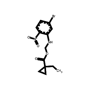 CCC1(C(=O)OCNc2cc(Br)ccc2[N+](=O)[O-])CC1